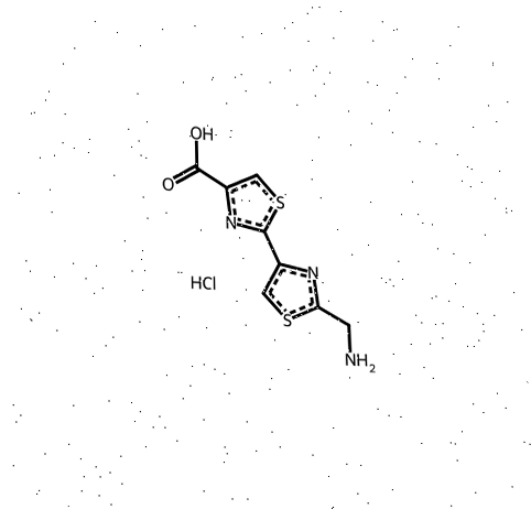 Cl.NCc1nc(-c2nc(C(=O)O)cs2)cs1